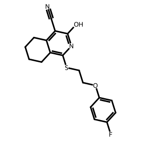 N#Cc1c(O)nc(SCCOc2ccc(F)cc2)c2c1CCCC2